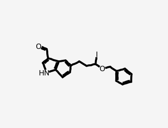 O=Cc1c[nH]c2ccc(CCC(I)OCc3ccccc3)cc12